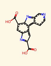 O=C(O)C1=Nc2cc(C(=O)O)c3c(c2=C1)=c1ccncc1=N3